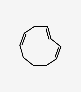 C1=C\CCC/C=C\C/C=C/1